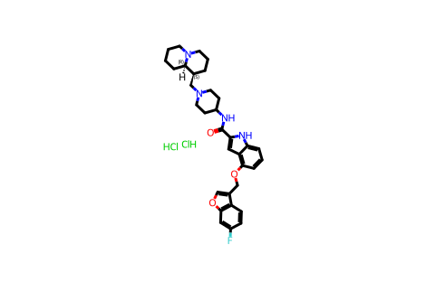 Cl.Cl.O=C(NC1CCN(C[C@@H]2CCCN3CCCC[C@H]23)CC1)c1cc2c(OCc3coc4cc(F)ccc34)cccc2[nH]1